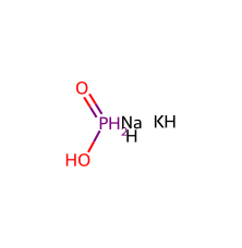 O=[PH2]O.[KH].[NaH]